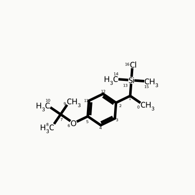 CC(c1ccc(OC(C)(C)C)cc1)[Si](C)(C)Cl